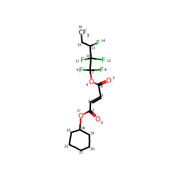 O=C(C=CC(=O)OC(F)(F)C(F)(F)C(F)CC(F)(F)F)OC1CCCCC1